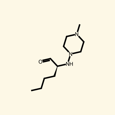 CCCC[C@@H](C=O)NN1CCN(C)CC1